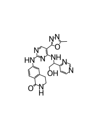 Cc1nnc(-c2cnc(Nc3ccc4c(c3)CCNC4=O)nc2NC(CO)c2ccncn2)o1